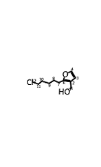 OCc1ccoc1CCCCCCl